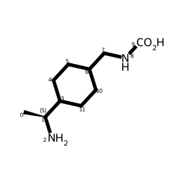 C[C@H](N)C1CCC(CNC(=O)O)CC1